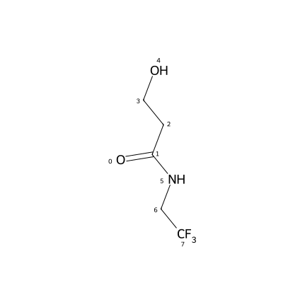 O=C(CCO)NCC(F)(F)F